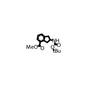 COC(=O)c1cccc2c1CC(NC(=O)OC(C)(C)C)C2